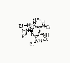 CCNN1P(NCC)N=P(NCC)(NCC)N(NCC)P1NCC